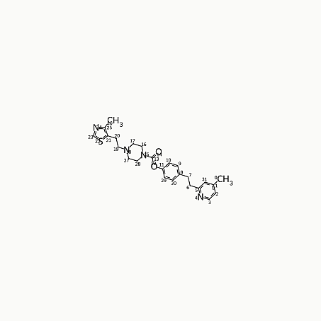 Cc1ccnc(CCc2ccc(OC(=O)N3CCN(CCc4scnc4C)CC3)cc2)c1